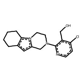 OCc1c(Cl)ccnc1N1CCn2c(cc3c2CCCC3)C1